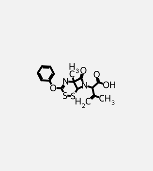 C=C(C)C(C(=O)O)N1C(=O)C2(C)N=C(Oc3ccccc3)SSC12